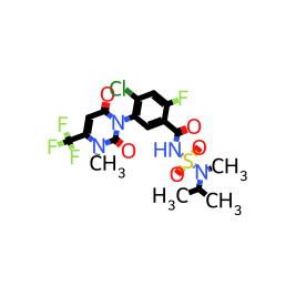 CC(C)N(C)S(=O)(=O)NC(=O)c1cc(-n2c(=O)cc(C(F)(F)F)n(C)c2=O)c(Cl)cc1F